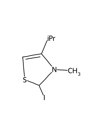 CC(C)C1=CSC(I)N1C